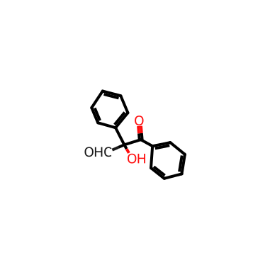 O=CC(O)(C(=O)c1ccccc1)c1ccccc1